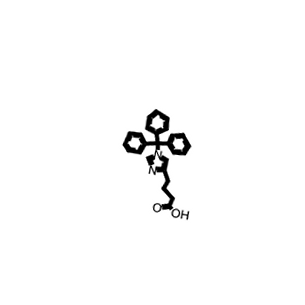 O=C(O)CCCc1cn(C(c2ccccc2)(c2ccccc2)c2ccccc2)cn1